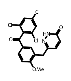 COc1ccc(C(=O)c2c(Cl)cc(Cl)cc2Cl)cc1Cc1ccc(=O)[nH]n1